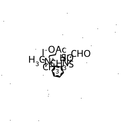 CC(=O)OCC[N+](C)(C)C.O=CO.S=[N+]([S-])c1ccccc1.[I-]